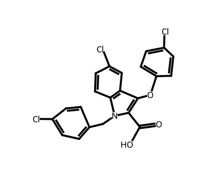 O=C(O)c1c(Oc2ccc(Cl)cc2)c2cc(Cl)ccc2n1Cc1ccc(Cl)cc1